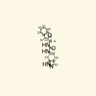 Cc1c([C@H](C)NC(=O)NC2CCc3cn[nH]c3C2)oc2ccccc12